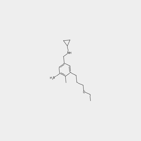 Bc1cc(CNC2CC2)cc(CCCOCC)c1C